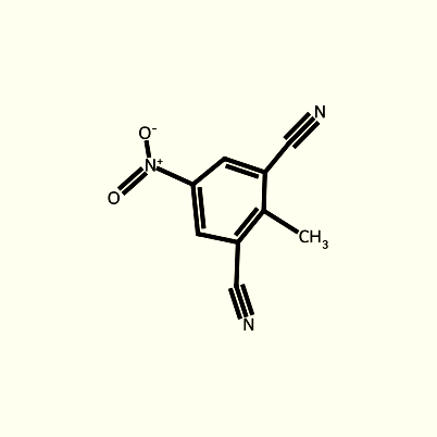 Cc1c(C#N)cc([N+](=O)[O-])cc1C#N